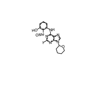 COc1c(O)cccc1Nc1nc(I)nc2c1ncn2C1CCCCO1